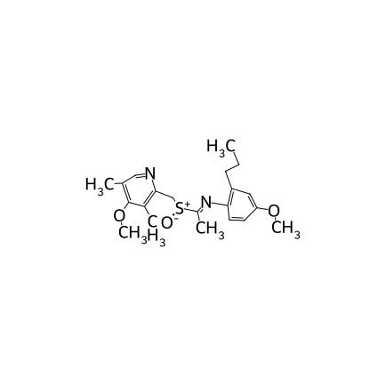 CCCc1cc(OC)ccc1/N=C(\C)[S@@+]([O-])Cc1ncc(C)c(OC)c1C